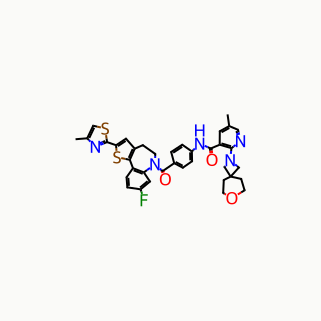 Cc1cnc(N2CC3(CCOCC3)C2)c(C(=O)Nc2ccc(C(=O)N3CCc4cc(-c5nc(C)cs5)sc4-c4ccc(F)cc43)cc2)c1